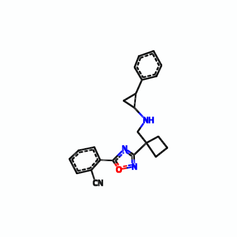 N#Cc1ccccc1-c1nc(C2(CNC3CC3c3ccccc3)CCC2)no1